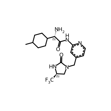 CC1CCC([C@H](N)C(=O)Nc2cc(CN3C[C@@H](C(F)(F)F)NC3=O)ccn2)CC1